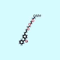 COCCOCCOCCOCCCc1ccc(C(=O)c2ccccc2)cc1